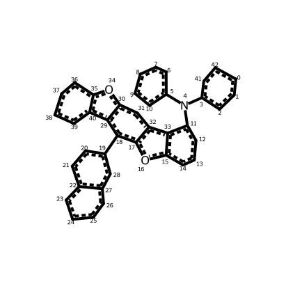 c1ccc(N(c2ccccc2)c2cccc3oc4c(-c5ccc6ccccc6c5)c5c(cc4c23)oc2ccccc25)cc1